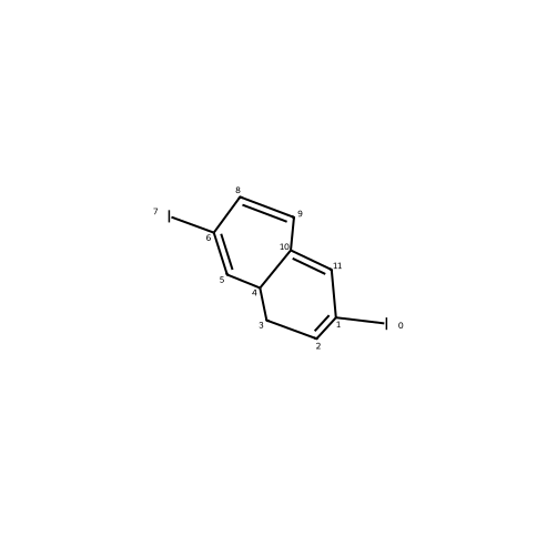 IC1=CCC2C=C(I)C=CC2=C1